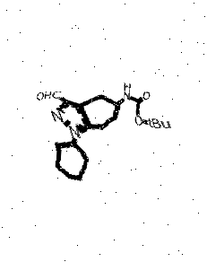 CC(C)(C)OC(=O)NC1CCc2c(c(C=O)nn2C2CCCCC2)C1